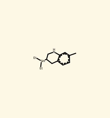 CC[SiH](CC)C1CNc2cc(C)ccc2C1